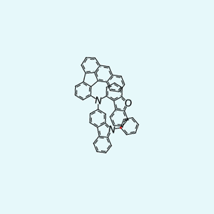 c1ccc(-n2c3ccccc3c3ccc(N(c4cccc5c4-c4c6ccccc6cc6cccc-5c46)c4cccc5oc6ccccc6c45)cc32)cc1